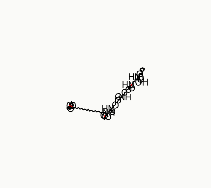 CC(C)(C)OC(=O)[C@H](CCC(=O)NCCOCCOCC(=O)NCCOCCOCC(=O)NCCCC[C@H](NC(=O)OCc1ccccc1)C(=O)O)NC(=O)CCCCCCCCCCCCCCCCCCP(=O)(OC(C)(C)C)OC(C)(C)C